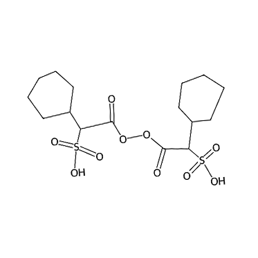 O=C(OOC(=O)C(C1CCCCC1)S(=O)(=O)O)C(C1CCCCC1)S(=O)(=O)O